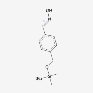 CC(C)(C)[Si](C)(C)OCc1ccc(/C=N/O)cc1